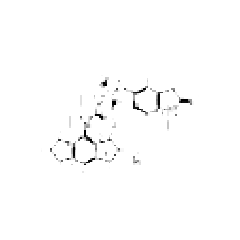 O=C1Cc2cc(NS(=O)(=O)NC(=O)Nc3c4c(cc5c3CCC5)CCC4)ccc2N1.[K]